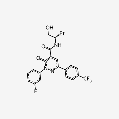 CC[C@H](CO)NC(=O)c1cc(-c2ccc(C(F)(F)F)cc2)nn(-c2cccc(F)c2)c1=O